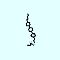 C=CC(=O)N(C)CCCc1ccc(C2CCC(C3CCC(CCCCC)CC3)CC2)cc1